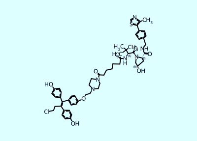 Cc1ncsc1-c1ccc(CNC(=O)[C@@H]2C[C@@H](O)CN2C(=O)[C@@H](NC(=O)CCCCCC(=O)N2CCN(CCOc3ccc(C(=C(CCCl)c4ccc(O)cc4)c4ccc(O)cc4)cc3)CC2)C(C)(C)C)cc1